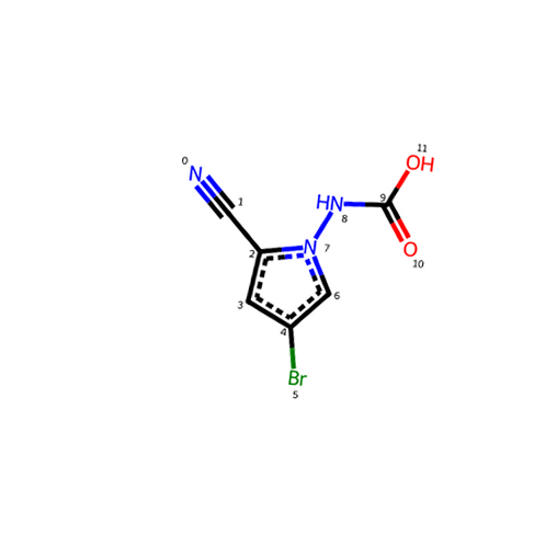 N#Cc1cc(Br)cn1NC(=O)O